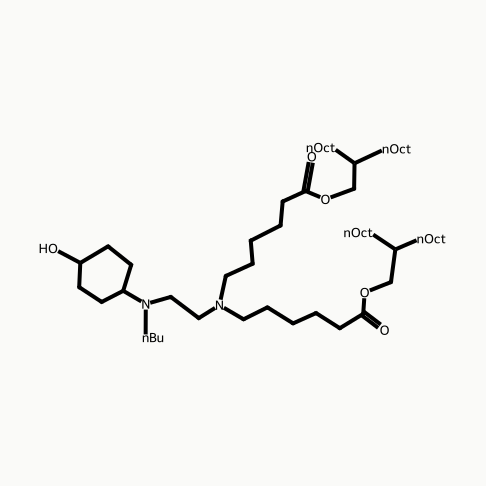 CCCCCCCCC(CCCCCCCC)COC(=O)CCCCCN(CCCCCC(=O)OCC(CCCCCCCC)CCCCCCCC)CCN(CCCC)C1CCC(O)CC1